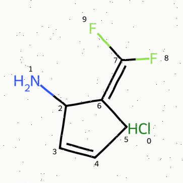 Cl.NC1C=CCC1=C(F)F